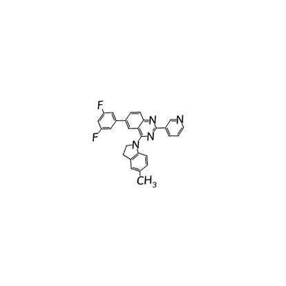 Cc1ccc2c(c1)CCN2c1nc(-c2cccnc2)nc2ccc(-c3cc(F)cc(F)c3)cc12